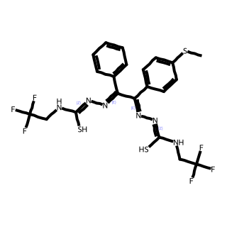 CSc1ccc(C(=N\N=C(/S)NCC(F)(F)F)/C(=N/N=C(\S)NCC(F)(F)F)c2ccccc2)cc1